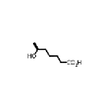 C=C(O)CCCCC(=O)O